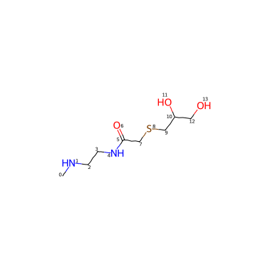 CNCCNC(=O)CSCC(O)CO